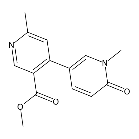 COC(=O)c1cnc(C)cc1-c1ccc(=O)n(C)c1